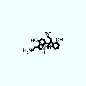 CN(C)CCc1c(-c2ccc(O)c3c(CCN)c[nH]c23)[nH]c2cccc(O)c12